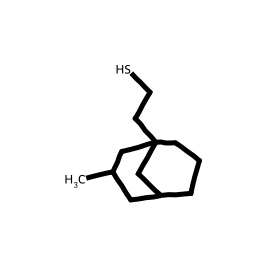 CC1CC2CCCC(CCS)(C1)C2